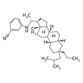 CCC[C@@]1(CC(C)C)CC[C@H]2[C@H](CC[C@@H]3[C@@H]2CC[C@]2(C)[C@@H]([C@@H](C)Nc4cccc(C#N)c4)CC[C@@H]32)C1